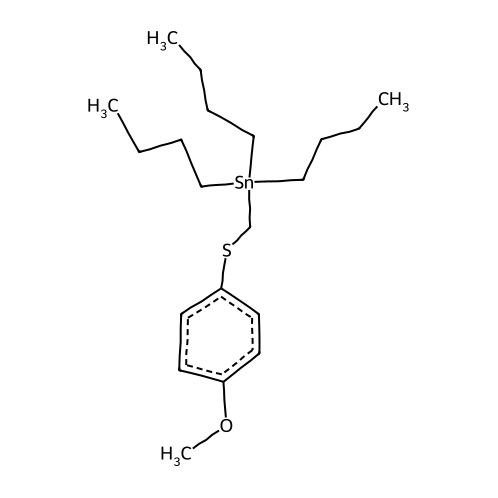 CCC[CH2][Sn]([CH2]CCC)([CH2]CCC)[CH2]Sc1ccc(OC)cc1